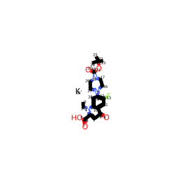 CCn1c(C(=O)O)cc(=O)c2cc(F)c(N3CCN(C(=O)OC(C)(C)C)CC3)cc21.[K]